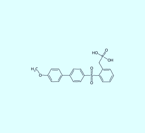 COc1ccc(-c2ccc(S(=O)(=O)c3ccccc3CP(=O)(O)O)cc2)cc1